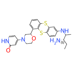 CC[C@H](N)C(C)Nc1ccc2c(c1)Sc1cccc(C3CN(c4cc[nH]c(=O)c4)CCO3)c1S2